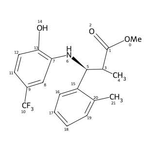 COC(=O)C(C)[C@H](Nc1cc(C(F)(F)F)ccc1O)c1ccccc1C